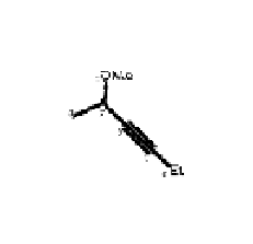 [CH2]CC#CC(C)OC